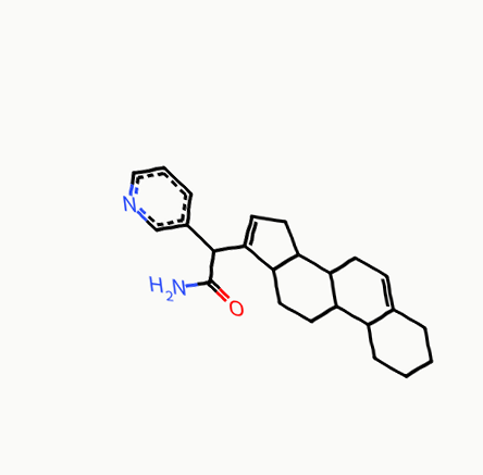 NC(=O)C(C1=CCC2C1CCC1C3CCCCC3=CCC12)c1cccnc1